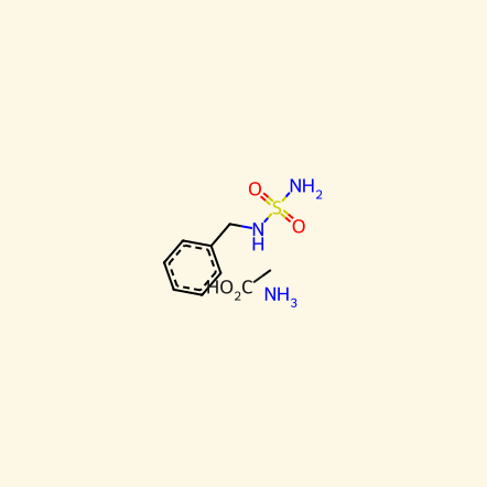 CC(=O)O.N.NS(=O)(=O)NCc1ccccc1